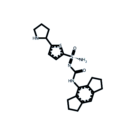 N[S@](=O)(=NC(=O)Nc1c2c(cc3c1CCC3)CCC2)c1ccc(C2CCCN2)s1